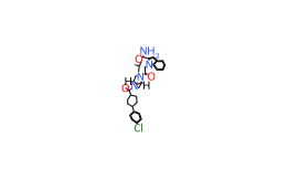 CC(C)(C)[C@@H](C(=O)N1C[C@@H]2C[C@H]1CN2C(=O)C1CCC(c2ccc(Cl)cc2)CC1)n1c(C(N)=O)cc2ccccc21